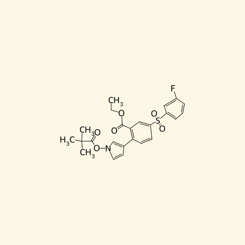 CCOC(=O)c1cc(S(=O)(=O)c2cccc(F)c2)ccc1-c1ccn(OC(=O)C(C)(C)C)c1